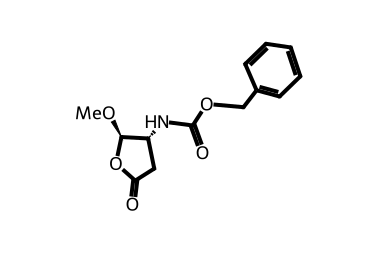 CO[C@@H]1OC(=O)C[C@H]1NC(=O)OCc1ccccc1